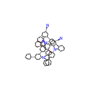 N#Cc1ccc(-n2c3ccccc3c3cc(-c4cc(-c5ccccc5)ccc4-n4c5ccccc5c5ccccc54)ccc32)c(-c2cc(C#N)ccc2-n2c3ccccc3c3cc(-c4cc(-c5ccccc5)ccc4-n4c5ccccc5c5ccccc54)ccc32)c1